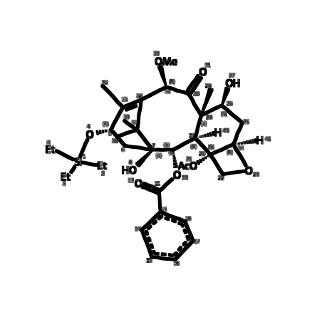 CC[Si](CC)(CC)O[C@H]1C[C@@]2(O)[C@@H](OC(=O)c3ccccc3)[C@@H]3[C@]4(OC(C)=O)CO[C@@H]4C[C@H](O)[C@@]3(C)C(=O)[C@H](OC)C(=C1C)C2(C)C